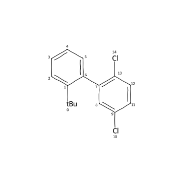 CC(C)(C)c1ccccc1-c1cc(Cl)ccc1Cl